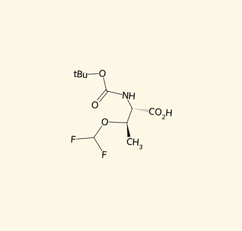 C[C@@H](OC(F)F)[C@H](NC(=O)OC(C)(C)C)C(=O)O